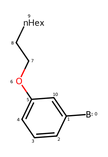 [B]c1cccc(OCCCCCCCC)c1